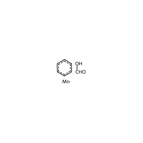 O=CO.[Mn].c1ccccc1